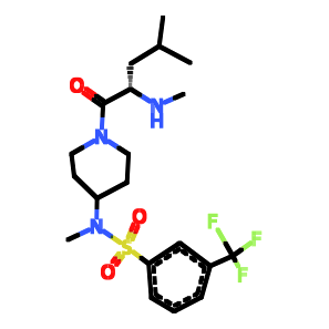 CN[C@@H](CC(C)C)C(=O)N1CCC(N(C)S(=O)(=O)c2cccc(C(F)(F)F)c2)CC1